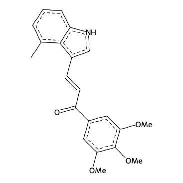 COc1cc(C(=O)/C=C/c2c[nH]c3cccc(C)c23)cc(OC)c1OC